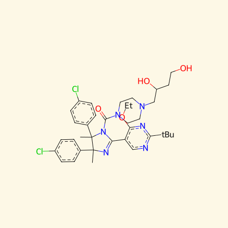 CCOc1nc(C(C)(C)C)ncc1C1=NC(C)(c2ccc(Cl)cc2)C(C)(c2ccc(Cl)cc2)N1C(=O)N1CCN(CC(O)CCO)CC1